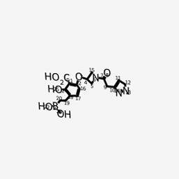 O=C(O)c1c(OC2CN(C(=O)CC3=CCN=N3)C2)ccc(CCB(O)O)c1O